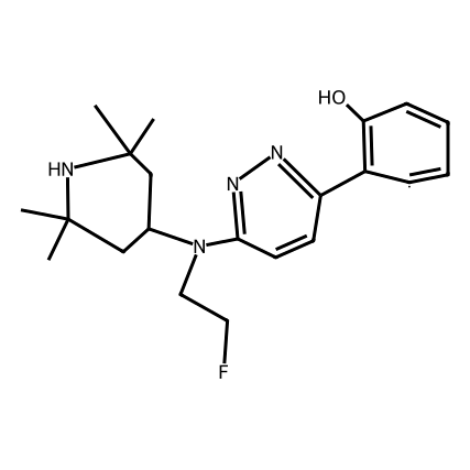 CC1(C)CC(N(CCF)c2ccc(-c3[c]cccc3O)nn2)CC(C)(C)N1